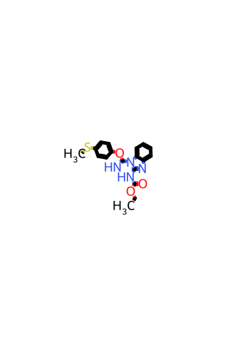 CCOC(=O)Nc1nc2ccccc2n1C(=N)Oc1ccc(SC)cc1